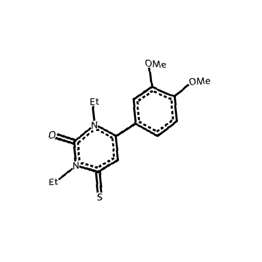 CCn1c(-c2ccc(OC)c(OC)c2)cc(=S)n(CC)c1=O